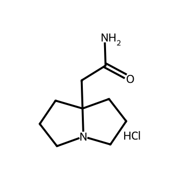 Cl.NC(=O)CC12CCCN1CCC2